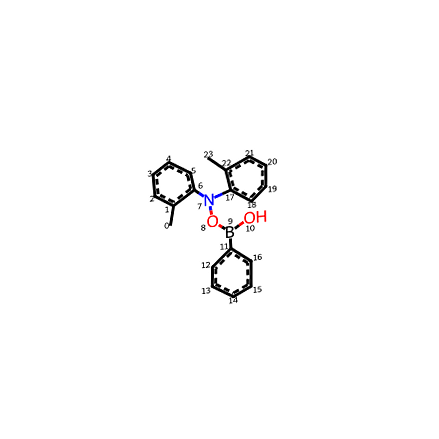 Cc1ccccc1N(OB(O)c1ccccc1)c1ccccc1C